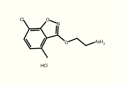 Cc1ccc(Cl)c2onc(OCC[AsH2])c12.Cl